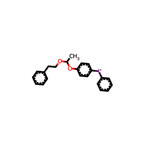 CC(OCCc1ccccc1)Oc1ccc([I+]c2ccccc2)cc1